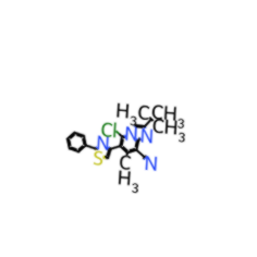 Cc1c(-c2csc(-c3ccccc3)n2)c(Cl)n2cc(C(C)(C)C)nc2c1C#N